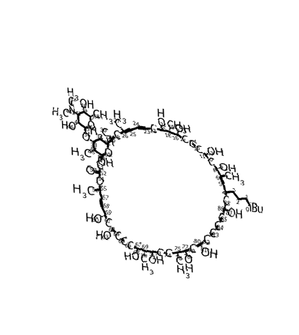 CCC(C)CCCC1/C=C(\C)[C@@H](O)C[C@H](O)CCC[C@H](O)[C@@H](C)[C@H](O)C/C=C/C=C(\C)C[C@H](C)[C@@H]2C[C@H](OC3O[C@H](C)[C@@H](O)[C@H](N(C)C)[C@H]3O)[C@@H](C)C(O)(CC(=O)OC(C)/C=C/[C@@H](O)C[C@@H](O)CCC[C@H](O)[C@@H](C)[C@H](O)CC[C@H](C)[C@H](O)C[C@@H](O)CCCCC(O)C1)O2